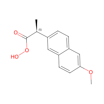 COc1ccc2cc([C@H](C)C(=O)OO)ccc2c1